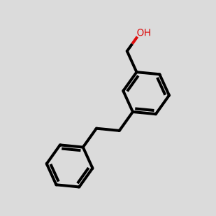 OCc1cccc(CCc2ccccc2)c1